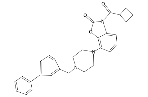 O=C(C1CCC1)n1c(=O)oc2c(N3CCN(Cc4cccc(-c5ccccc5)c4)CC3)cccc21